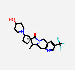 CC1C2Cc3ncc(C(F)(F)F)cc3CN2C(=O)[C@]12CCC(N1CCC(O)CC1)C2